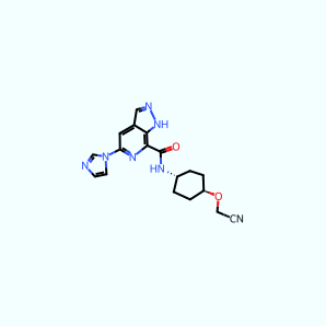 N#CCO[C@H]1CC[C@H](NC(=O)c2nc(-n3ccnc3)cc3cn[nH]c23)CC1